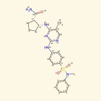 CN(c1ccccc1)S(=O)(=O)c1ccc(Nc2ncc(C(F)(F)F)c(N[C@@H]3CCC[C@@H]3C(N)=O)n2)cc1